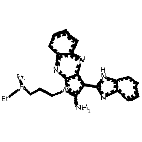 CCN(CC)CCCn1c(N)c(-c2nc3ccccc3[nH]2)c2nc3ccccc3nc21